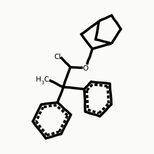 CC(c1ccccc1)(c1ccccc1)C(Cl)OC1CC2CCC1C2